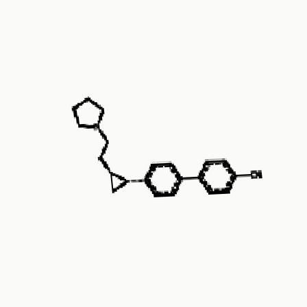 N#Cc1ccc(-c2ccc([C@@H]3C[C@H]3CCN3CCCC3)cc2)cc1